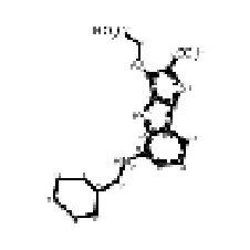 O=C(O)COc1c(C(=O)O)sc2c1sc1c(NCC3CCCCC3)cccc12